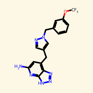 Nc1cc(Cc2cnn(Cc3cccc(OC(F)(F)F)c3)c2)c2nn[nH]c2n1